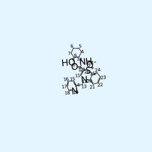 O=C(N[C@H]1CCCC[C@@H]1O)C1=CN(Cc2ccccn2)c2ccccc2[S+]1[O-]